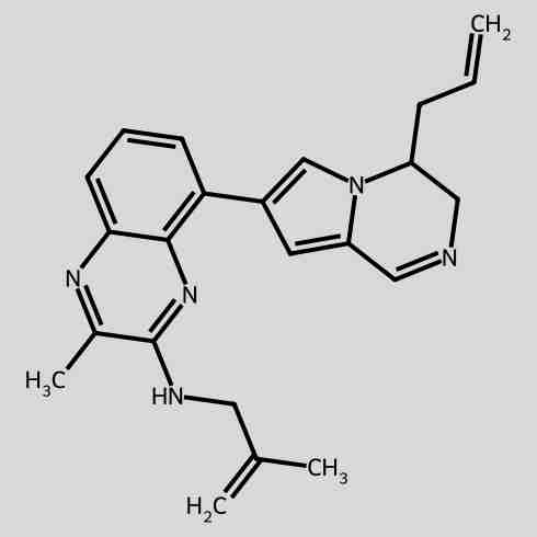 C=CCC1CN=Cc2cc(-c3cccc4nc(C)c(NCC(=C)C)nc34)cn21